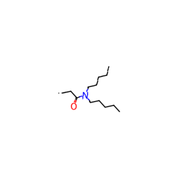 [CH2]CC(=O)N(CCCCC)CCCCC